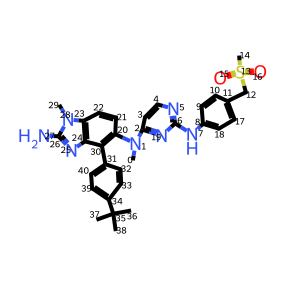 CN(c1ccnc(Nc2ccc(CS(C)(=O)=O)cc2)n1)c1ccc2c(nc(N)n2C)c1-c1ccc(C(C)(C)C)cc1